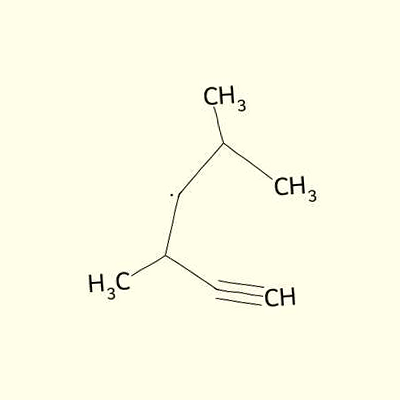 C#CC(C)[CH]C(C)C